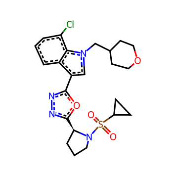 O=S(=O)(C1CC1)N1CCC[C@H]1c1nnc(-c2cn(CC3CCOCC3)c3c(Cl)cccc23)o1